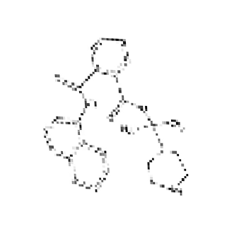 CC(C)(OC(=O)c1ccccc1C(=O)Nc1cccc2ccccc12)C1CCNCC1